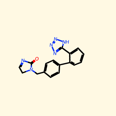 O=C1N=CCN1Cc1ccc(-c2ccccc2-c2nnn[nH]2)cc1